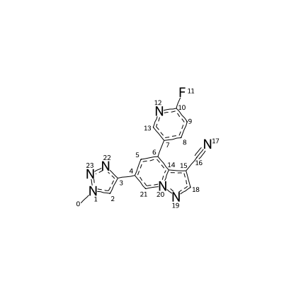 Cn1cc(-c2cc(-c3ccc(F)nc3)c3c(C#N)cnn3c2)nn1